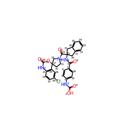 O=C(O)Nc1ccc(C(=O)NC2(C(=O)N3CCC4(C3)OC(=O)Nc3ccc(Cl)cc34)Cc3ccccc3C2)cc1